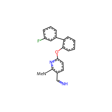 CNc1nc(Oc2ccccc2-c2cccc(F)c2)ccc1C=N